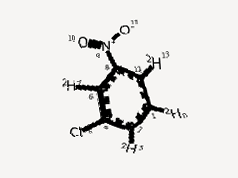 [2H]c1c([2H])c(Cl)c([2H])c([N+](=O)[O-])c1[2H]